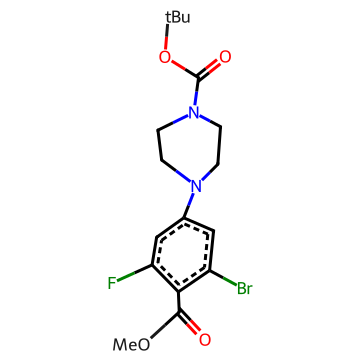 COC(=O)c1c(F)cc(N2CCN(C(=O)OC(C)(C)C)CC2)cc1Br